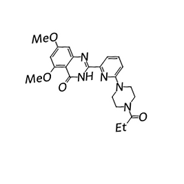 CCC(=O)N1CCN(c2cccc(-c3nc4cc(OC)cc(OC)c4c(=O)[nH]3)n2)CC1